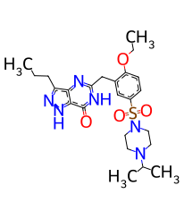 CCCc1n[nH]c2c(=O)[nH]c(Cc3cc(S(=O)(=O)N4CCN(C(C)C)CC4)ccc3OCC)nc12